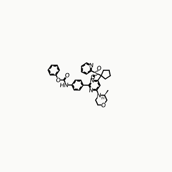 C[C@H]1COCCN1c1cc(C2(S(=O)(=O)c3ccccn3)CCCC2)nc(-c2ccc(NC(=O)Oc3ccccc3)cc2)n1